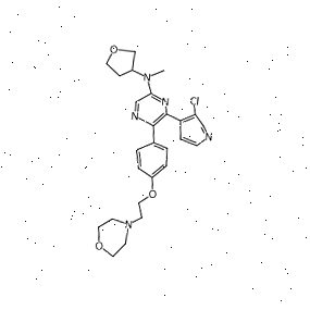 CN(c1cnc(-c2ccc(OCCN3CCOCC3)cc2)c(-c2ccncc2Cl)n1)C1CCOC1